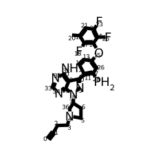 C#CCCN1CCC(n2nc(-c3ccc(Oc4c(F)c(C)cc(F)c4F)cc3P)c3c(N)ncnc32)C1